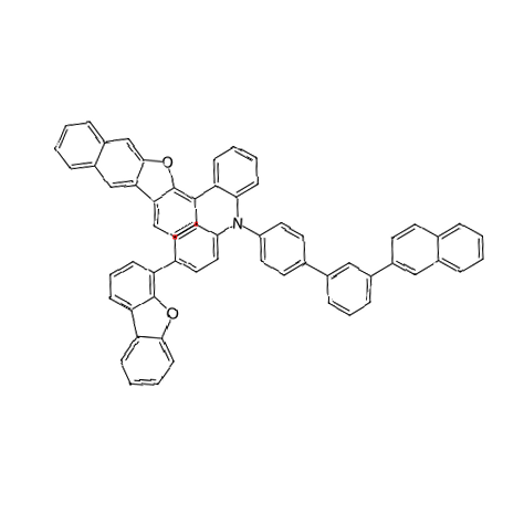 c1cc(-c2ccc(N(c3ccc(-c4cccc5c4oc4ccccc45)cc3)c3ccccc3-c3cccc4c3oc3cc5ccccc5cc34)cc2)cc(-c2ccc3ccccc3c2)c1